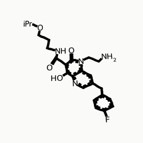 CC(C)OCCCNC(=O)c1c(O)c2ncc(Cc3ccc(F)cc3)cc2n(CCN)c1=O